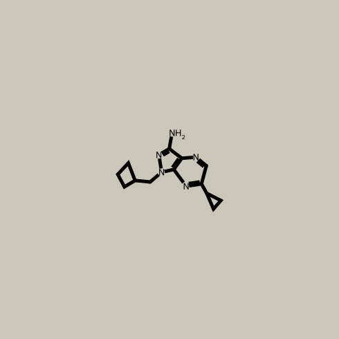 Nc1nn(CC2CCC2)c2nc(C3CC3)cnc12